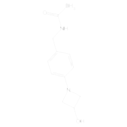 BC(=O)NCc1ccc(N2CC(O)C2)cc1